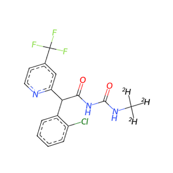 [2H]C([2H])([2H])NC(=O)NC(=O)C(c1cc(C(F)(F)F)ccn1)c1ccccc1Cl